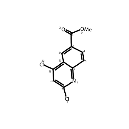 COC(=O)c1ccc2nc(Cl)cc(Cl)c2c1